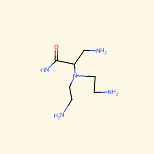 [NH]C(=O)C(CN)N(CCN)CCN